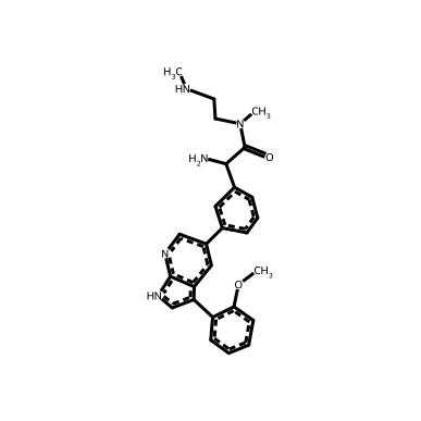 CNCCN(C)C(=O)C(N)c1cccc(-c2cnc3[nH]cc(-c4ccccc4OC)c3c2)c1